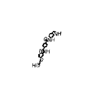 O=C(Nc1ccc2cc[nH]c2c1)c1ccc(-c2nc3ccc(OCCO)cc3[nH]2)cc1